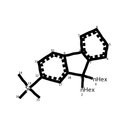 CCCCCCC1(CCCCCC)c2ccccc2-c2ccc([Si](C)(C)C)cc21